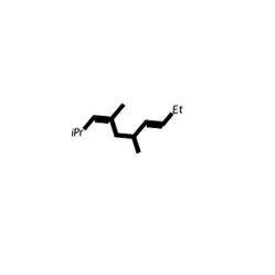 [CH2]C(C)C=C(C)CC(C)C=CCC